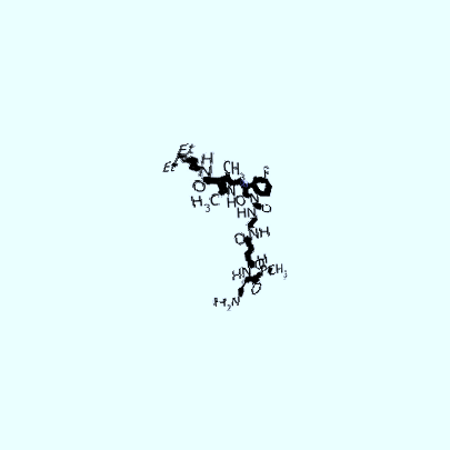 CCN(CC)CCNC(=O)c1c(C)[nH]c(/C=C2\C(=O)N(C(=O)NCCNC(=O)CCC(=O)N[C@H](CCN)C(=O)PC)c3ccc(F)cc32)c1C